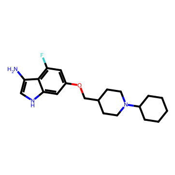 Nc1c[nH]c2cc(OCC3CCN(C4CCCCC4)CC3)cc(F)c12